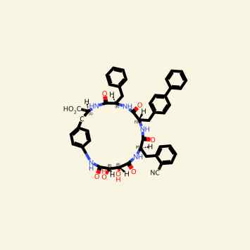 N#Cc1ccccc1C[C@H]1NC(=O)[C@H](O)[C@@H](O)C(=O)Nc2ccc(cc2)C[C@@H](C(=O)O)NC(=O)[C@@H](Cc2ccccc2)NC(=O)[C@H](Cc2ccc(-c3ccccc3)cc2)NC1=O